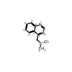 C[S+]([O-])Cc1ncnc2ccccc12